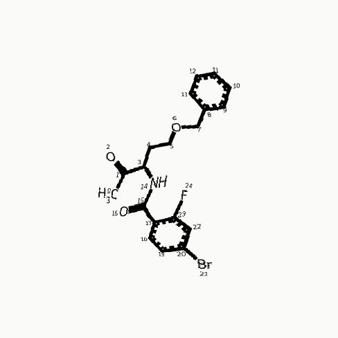 CC(=O)C(CCOCc1ccccc1)NC(=O)c1ccc(Br)cc1F